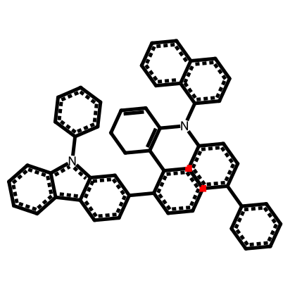 C1=CC(N(c2ccc(-c3ccccc3)cc2)c2cccc3ccccc23)=C(c2ccccc2-c2ccc3c4ccccc4n(-c4ccccc4)c3c2)CC1